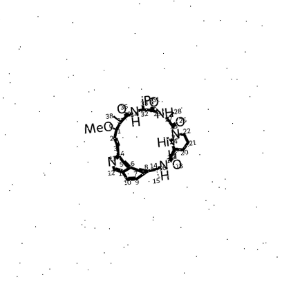 CO[C@@H]1/C=C/c2cc3cc(ccc3cn2)[C@@H](C)NC(=O)[C@@H]2CCCN(N2)C(=O)[C@H](C)NC(=O)C(C(C)C)NC(=O)[C@@H]1C